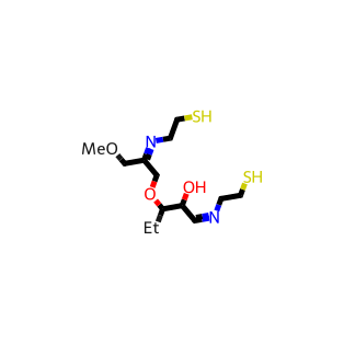 CCC(OC/C(COC)=N\CCS)C(O)/C=N\CCS